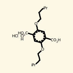 CC(C)CCOc1cc(C(=O)O)c(OCCC(C)C)cc1C(=O)O.Cl.Cl